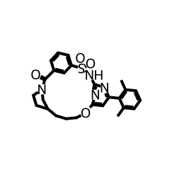 Cc1cccc(C)c1-c1cc2nc(n1)NS(=O)(=O)c1cccc(c1)C(=O)N1CCC(CCCO2)C1